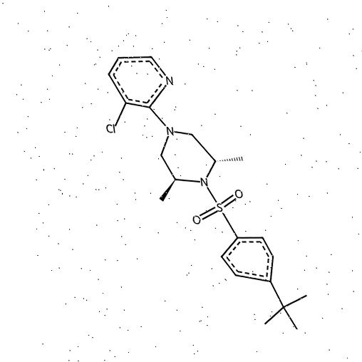 C[C@H]1CN(c2ncccc2Cl)C[C@H](C)N1S(=O)(=O)c1ccc(C(C)(C)C)cc1